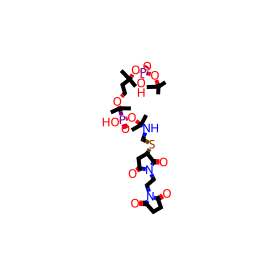 CC(C)(C)OP(=O)(O)OC(C)(C)CCOC(C)(C)P(=O)(O)OC(C)(C)NCSC1CC(=O)N(CCN2C(=O)CCC2=O)C1=O